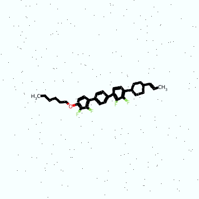 C/C=C/C1CCC(c2ccc(-c3ccc(-c4ccc(OCCCCCC)c(F)c4F)cc3)c(F)c2F)CC1